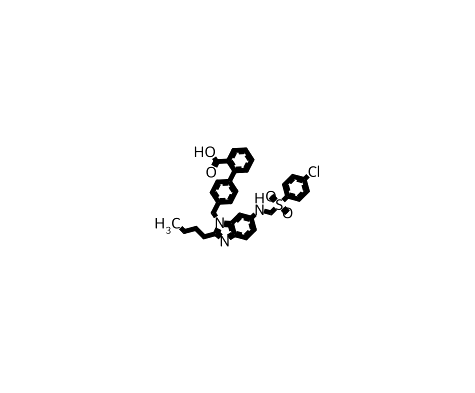 CCCCc1nc2ccc(NCS(=O)(=O)c3ccc(Cl)cc3)cc2n1Cc1ccc(-c2ccccc2C(=O)O)cc1